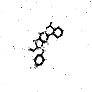 CC(C)c1ccccc1-c1ncc2c(n1)N(Cc1ccc(N)cc1)C(C=O)N2